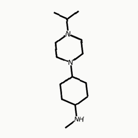 CNC1CCC(N2CCN(C(C)C)CC2)CC1